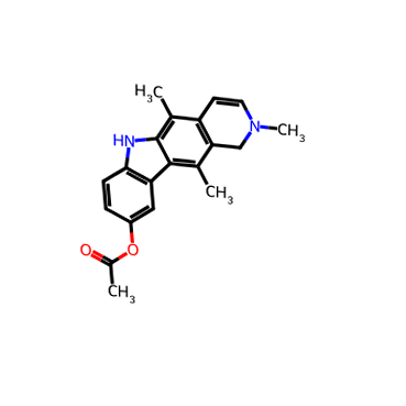 CC(=O)Oc1ccc2[nH]c3c(C)c4c(c(C)c3c2c1)CN(C)C=C4